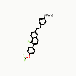 CCCCCc1ccc(CCc2ccc3c(F)c(-c4ccc(OC(F)F)cc4)ccc3c2)cc1